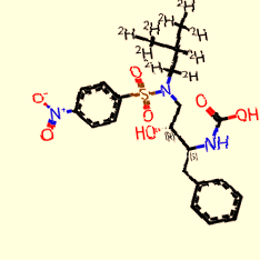 [2H]C([2H])([2H])C([2H])(C([2H])([2H])[2H])C([2H])([2H])N(C[C@@H](O)[C@H](Cc1ccccc1)NC(=O)O)S(=O)(=O)c1ccc([N+](=O)[O-])cc1